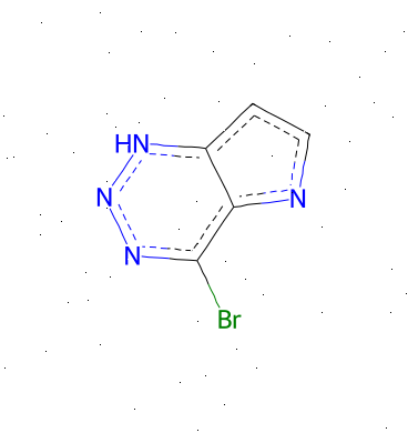 Brc1nn[nH]c2ccnc1-2